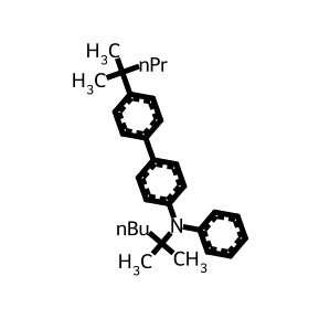 CCCCC(C)(C)N(c1ccccc1)c1ccc(-c2ccc(C(C)(C)CCC)cc2)cc1